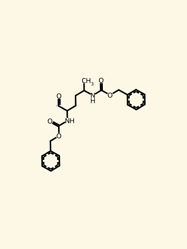 CC(CCC([C]=O)NC(=O)OCc1ccccc1)NC(=O)OCc1ccccc1